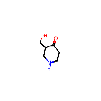 O=C1CCNCC1CO